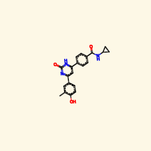 Cc1cc(-c2cc(-c3ccc(C(=O)NC4CC4)cc3)[nH]c(=O)n2)ccc1O